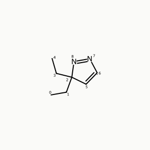 CCC1(CC)C=[C]N=N1